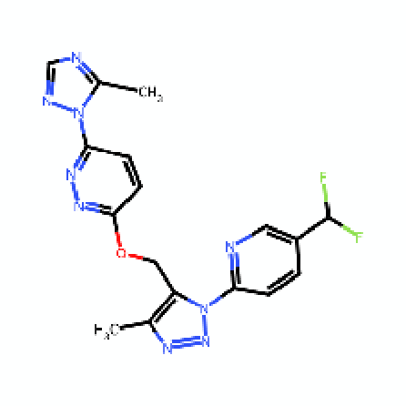 Cc1nnn(-c2ccc(C(F)F)cn2)c1COc1ccc(-n2ncnc2C)nn1